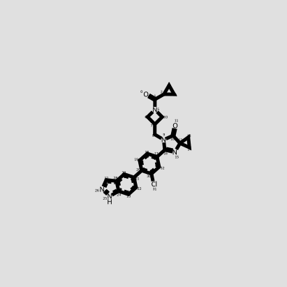 O=C(C1CC1)N1CC(CN2C(=O)C3(CC3)N=C2c2ccc(-c3ccc4[nH]ncc4c3)c(Cl)c2)C1